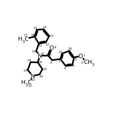 COc1ccc(CC(=O)N(Cc2ccccc2C)C2CCN(C)CC2)cc1